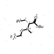 CC(C)C[C@H](C(=O)C(C)(C)C)N(C)SCC(F)(F)F